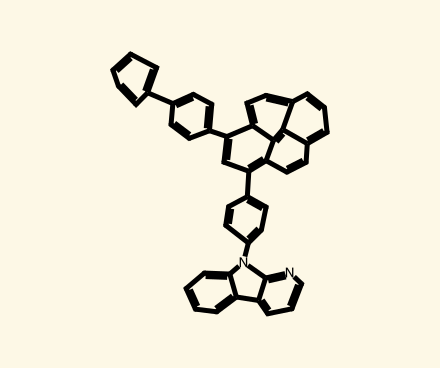 c1ccc(-c2ccc(-c3cc(-c4ccc(-n5c6ccccc6c6cccnc65)cc4)c4ccc5cccc6ccc3c4c65)cc2)cc1